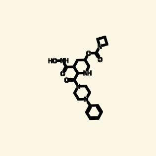 O=C(NO)C1CC(OC(=O)N2CCC2)CNC1C(=O)N1CCN(c2ccccc2)CC1